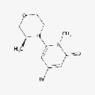 C[C@H]1COCCN1c1cc(Br)cc(=O)n1C